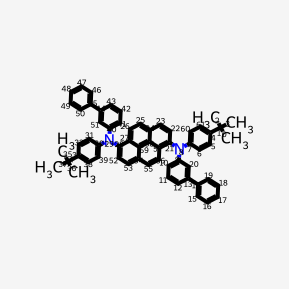 CC(C)(C)c1ccc(N(c2cccc(-c3ccccc3)c2)c2ccc3ccc4c(N(c5ccc(C(C)(C)C)cc5)c5cccc(-c6ccccc6)c5)ccc5ccc2c3c54)cc1